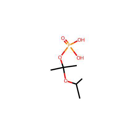 CC(C)OC(C)(C)OP(=O)(O)O